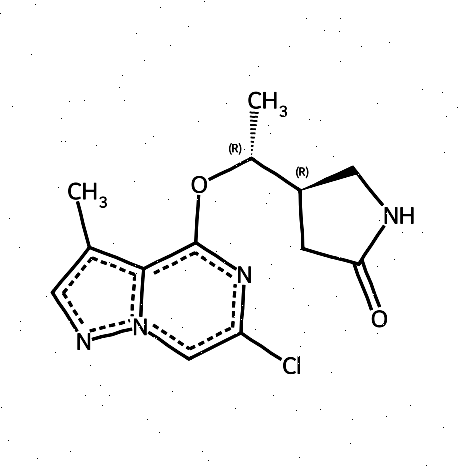 Cc1cnn2cc(Cl)nc(O[C@H](C)[C@H]3CNC(=O)C3)c12